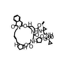 C=C[C@@H]1C[C@]1(NC(=O)[C@@H]1C[C@@H]2CN1C(=O)[C@H](C1CCCC1)NC(=O)O[C@@H]1CCC[C@H]1C/C=C/CCn1c(cc3ccccc3c1=O)O2)C(=O)NS(=O)(=O)C1CC1